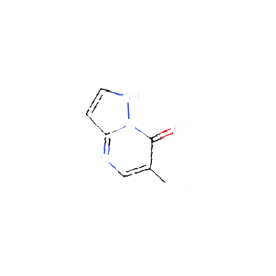 O=C(O)c1cnc2cc[nH]n2c1=O